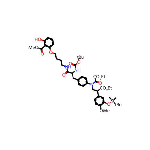 CCOC(=O)C(=O)N(CC(C(=O)OCC)c1ccc(OC)c(O[Si](C)(C)C(C)(C)C)c1)c1ccc(C[C@H](NC(=O)OC(C)(C)C)C(=O)NCCCCOc2cccc(O)c2C(=O)OC)cc1